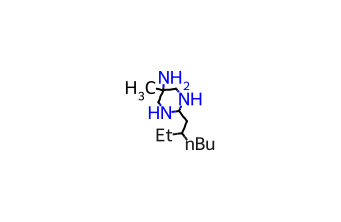 CCCCC(CC)CC1NCC(C)(N)CN1